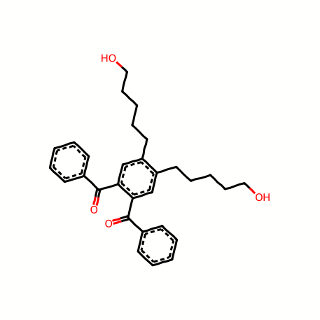 O=C(c1ccccc1)c1cc(CCCCCO)c(CCCCCO)cc1C(=O)c1ccccc1